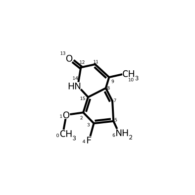 COc1c(F)c(N)cc2c(C)cc(=O)[nH]c12